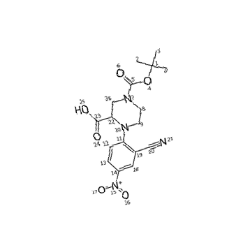 CC(C)(C)OC(=O)N1CCN(c2ccc([N+](=O)[O-])cc2C#N)C(C(=O)O)C1